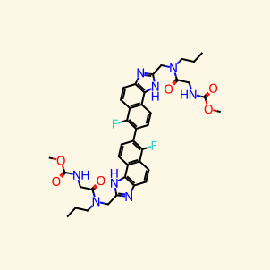 CCCN(Cc1nc2ccc3c(F)c(-c4ccc5c(ccc6nc(CN(CCC)C(=O)CNC(=O)OC)[nH]c65)c4F)ccc3c2[nH]1)C(=O)CNC(=O)OC